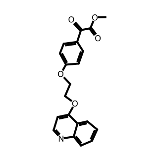 COC(=O)C(=O)c1ccc(OCCOc2ccnc3ccccc23)cc1